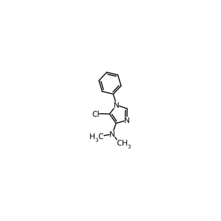 CN(C)c1ncn(-c2ccccc2)c1Cl